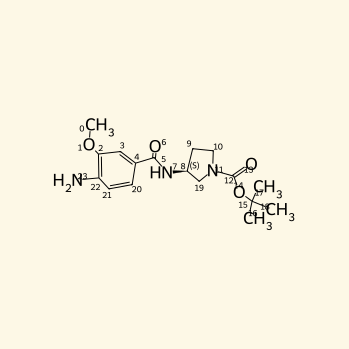 COc1cc(C(=O)N[C@H]2CCN(C(=O)OC(C)(C)C)C2)ccc1N